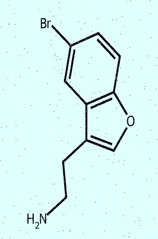 NCCc1coc2ccc(Br)cc12